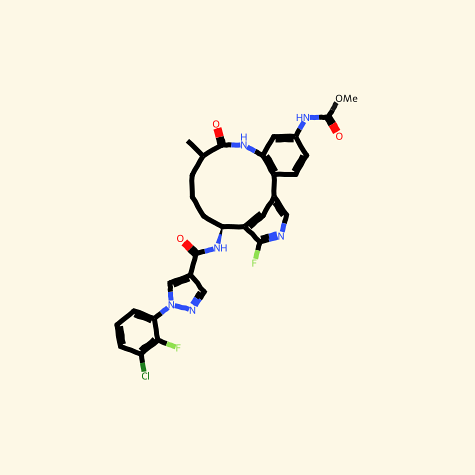 COC(=O)Nc1ccc2c(c1)NC(=O)C(C)CCC[C@H](NC(=O)c1cnn(-c3cccc(Cl)c3F)c1)c1cc-2cnc1F